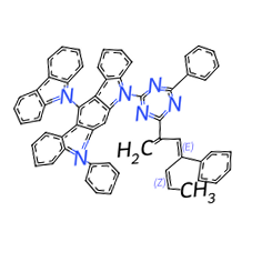 C=C(/C=C(\C=C/C)c1ccccc1)c1nc(-c2ccccc2)nc(-n2c3ccccc3c3c(-n4c5ccccc5c5ccccc54)c4c5ccccc5n(-c5ccccc5)c4cc32)n1